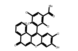 CC(C)(C)C(=O)c1cc(Cl)c(C(=O)O)c(-c2c3c4ccccc4c(=O)cc-3oc3cc(O)c(Cl)cc23)c1Cl